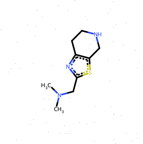 CN(C)Cc1nc2c(s1)CNCC2